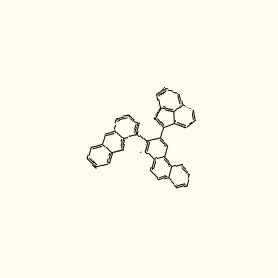 [c]1c(-c2cccc3cc4ccccc4cc23)c(C2=Cc3cccc4cccc2c34)cc2c1ccc1ccccc12